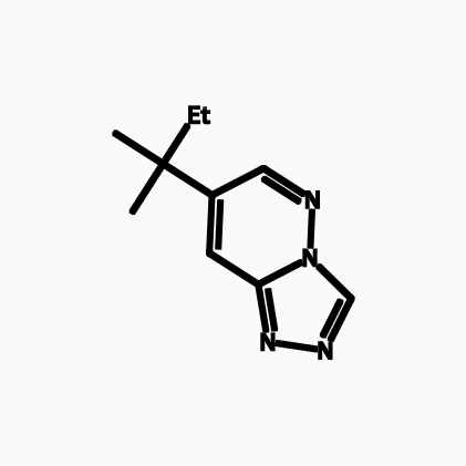 CCC(C)(C)c1cnn2cnnc2c1